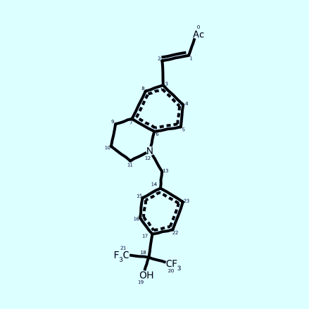 CC(=O)C=Cc1ccc2c(c1)CCCN2Cc1ccc(C(O)(C(F)(F)F)C(F)(F)F)cc1